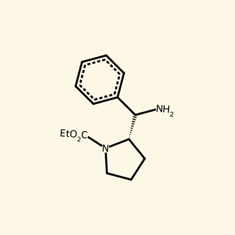 CCOC(=O)N1CCC[C@H]1C(N)c1ccccc1